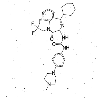 CN1CCN(c2ccc(NC(=O)NC3N=C(C4CCCCC4)c4ccccc4N(CC(F)(F)F)C3=O)cc2)CC1